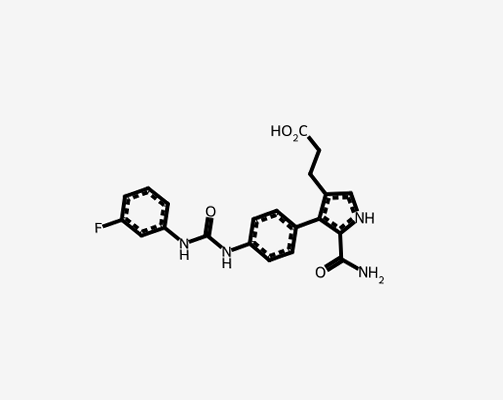 NC(=O)c1[nH]cc(CCC(=O)O)c1-c1ccc(NC(=O)Nc2cccc(F)c2)cc1